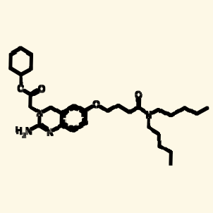 CCCCCN(CCCCC)C(=O)CCCOc1ccc2c(c1)CN(CC(=O)OC1CCCCC1)C(N)=N2